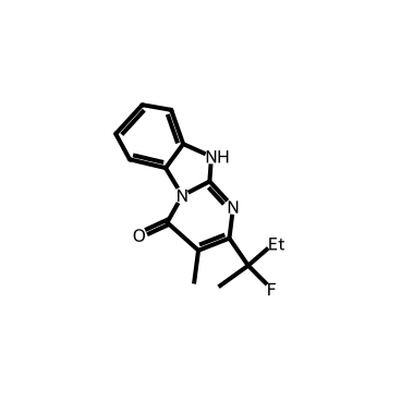 CCC(C)(F)c1nc2[nH]c3ccccc3n2c(=O)c1C